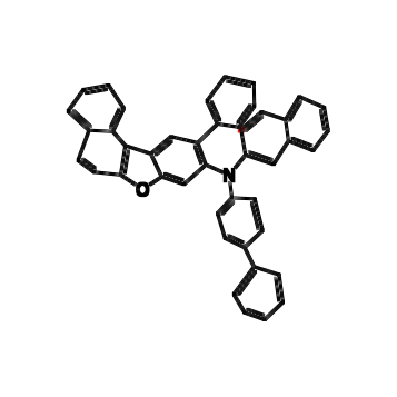 c1ccc(-c2ccc(N(c3ccc4ccccc4c3)c3cc4oc5ccc6ccccc6c5c4cc3-c3ccccc3)cc2)cc1